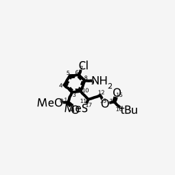 COC(=O)c1ccc(Cl)c(N)c1C(COC(=O)C(C)(C)C)SC